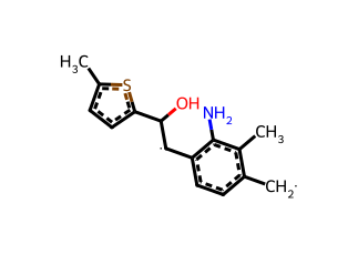 [CH2]c1ccc([CH]C(O)c2ccc(C)s2)c(N)c1C